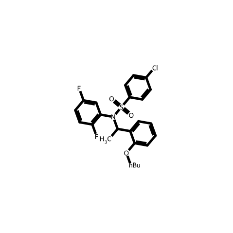 [CH2]CCCOc1ccccc1C(C)N(c1cc(F)ccc1F)S(=O)(=O)c1ccc(Cl)cc1